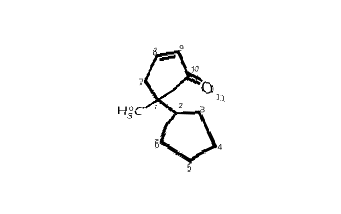 CC1(C2CCCC2)CC=CC1=O